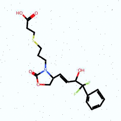 O=C(O)CCSCCCN1C(=O)OCC1C=CC(O)C(F)(F)c1ccccc1